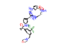 O=C(Nc1ccc(-c2cnc3nc2NCCCNS(=O)(=O)c2cccc(c2)N3)cc1)C1(c2cc(CN3CCOCC3)cc(C(F)(F)F)c2)CC1